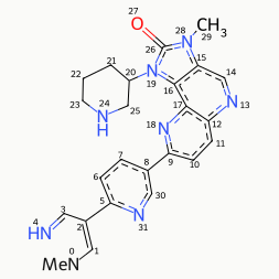 CN/C=C(\C=N)c1ccc(-c2ccc3ncc4c(c3n2)n(C2CCCNC2)c(=O)n4C)cn1